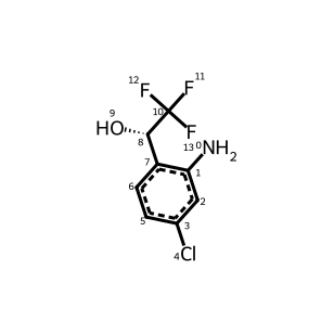 Nc1cc(Cl)ccc1[C@H](O)C(F)(F)F